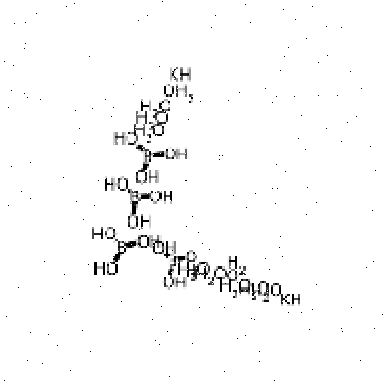 O.O.O.O.O.O.O.O.O.O.OB(O)O.OB(O)O.OB(O)O.OB(O)O.[KH].[KH]